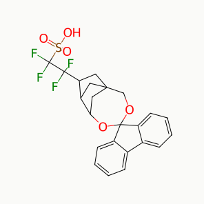 O=S(=O)(O)C(F)(F)C(F)(F)C1CC23COC4(OC(C2)C1C3)c1ccccc1-c1ccccc14